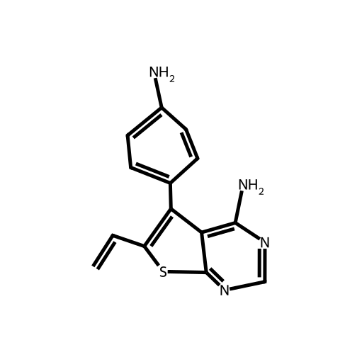 C=Cc1sc2ncnc(N)c2c1-c1ccc(N)cc1